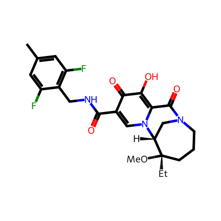 CC[C@]1(OC)CCCN2C[C@H]1n1cc(C(=O)NCc3c(F)cc(C)cc3F)c(=O)c(O)c1C2=O